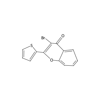 O=c1c(Br)c(-c2cccs2)oc2ccccc12